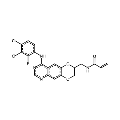 C=CC(=O)NCC1COc2cc3ncnc(Nc4ccc(Cl)c(Cl)c4F)c3cc2O1